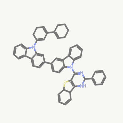 C1=CC2SC3=C(NC(c4ccccc4)N=C3n3c4ccccc4c4cc(-c5ccc6c7ccccc7n(C7=CC(C8=CCCCC8)=CCC7)c6c5)ccc43)C2C=C1